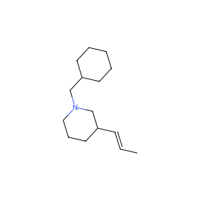 C/C=C/C1CCCN(CC2CCCCC2)C1